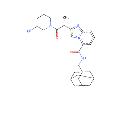 CC(C(=O)N1CCCC(N)C1)c1cn2c(C(=O)NCC34CC5CC(CC(C5)C3)C4)cccc2n1